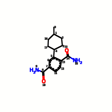 CC1CCC(c2cc(C(N)=O)ccc2C(N)=O)CC1